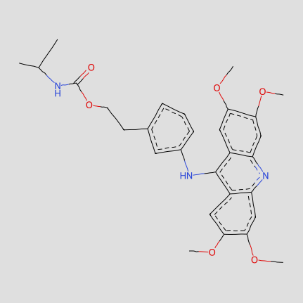 COc1cc2nc3cc(OC)c(OC)cc3c(Nc3cccc(CCOC(=O)NC(C)C)c3)c2cc1OC